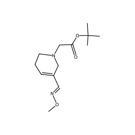 CO/N=C/C1=CCCN(CC(=O)OC(C)(C)C)C1